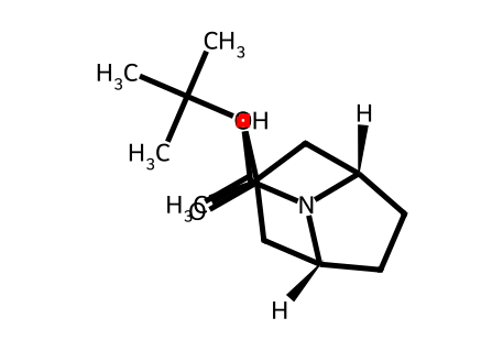 CC(C)(C)OC(=O)N1[C@@H]2CC[C@H]1C[C@@](C)(O)C2